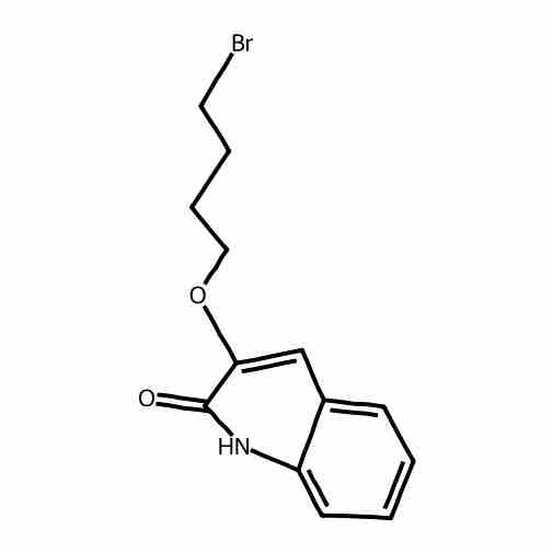 O=c1[nH]c2ccccc2cc1OCCCCBr